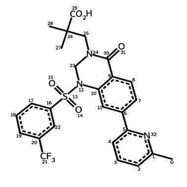 Cc1cccc(-c2ccc3c(c2)N(S(=O)(=O)c2cccc(C(F)(F)F)c2)CN(CC(C)(C)C(=O)O)C3=O)n1